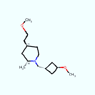 COCC[C@H]1CCN(C[C@H]2C[C@H](OC)C2)[C@H](C)C1